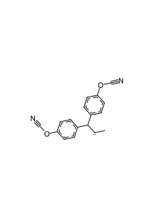 C[C]C(c1ccc(OC#N)cc1)c1ccc(OC#N)cc1